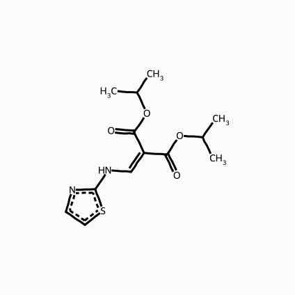 CC(C)OC(=O)C(=CNc1nccs1)C(=O)OC(C)C